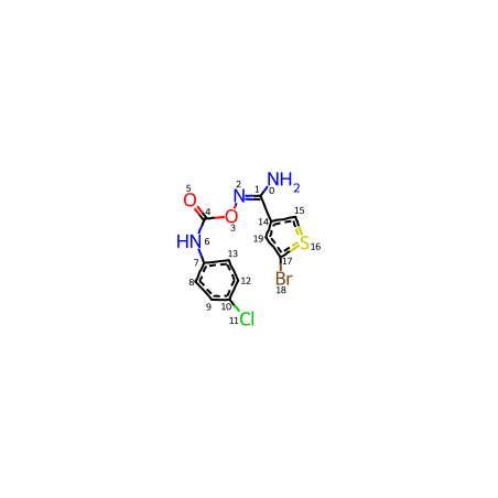 N/C(=N/OC(=O)Nc1ccc(Cl)cc1)c1csc(Br)c1